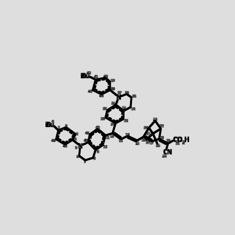 CCC(C)c1ccc(N2CCCc3cc(C(=C/C=C/C4=CC(=C(\C#N)C(=O)O)/C5CC4C5(C)C)c4ccc5c(c4)CCCN5c4ccc(C(C)CC)cc4)ccc32)cc1